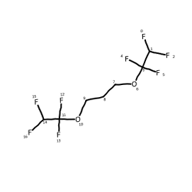 FC(F)C(F)(F)OCCCOC(F)(F)C(F)F